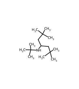 CC(C)(C)CC(CC(C)(C)C)NC(C)(C)C